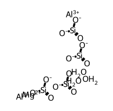 O.O.O.O=[Si]([O-])[O-].O=[Si]([O-])[O-].O=[Si]([O-])[O-].O=[Si]([O-])[O-].[Al+3].[Al+3].[Mg+2]